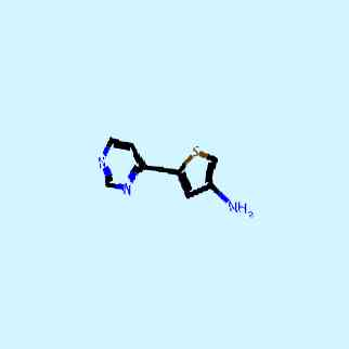 Nc1csc(-c2ccncn2)c1